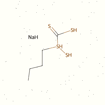 CCCC[SH](S)C(=S)S.[NaH]